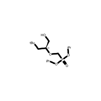 CC(C)OP(=O)(CO[C@H](CO)CC(C)(C)C)OC(C)C